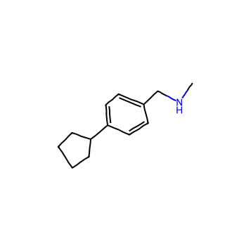 CNCc1ccc(C2CCCC2)cc1